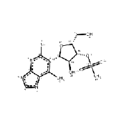 Cc1c2ncnc-2nc(S)n1[C@@H]1O[C@H](CO)[C@H](OS(C)(=O)=O)[C@H]1O